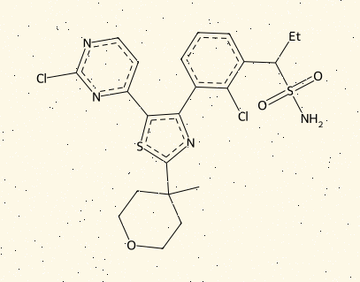 CCC(c1cccc(-c2nc(C3(C)CCOCC3)sc2-c2ccnc(Cl)n2)c1Cl)S(N)(=O)=O